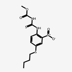 CCCCSc1ccc(NC(=S)NC(=O)OC)c([N+](=O)[O-])c1